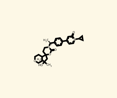 C[C@@H](c1ccc(-c2ccn(C3CC3)c(=O)c2)cc1)N1CCC(CC(C)(C)O)(C2CCOCC2)OC1=O